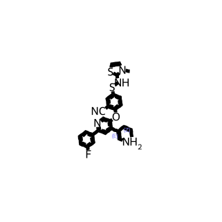 C/C=C\C(=C/N)c1cc(-c2cccc(F)c2)ncc1Oc1ccc(SNC2SC=CN2C)cc1C#N